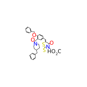 O=C(O)CN1C(=O)C(=Cc2ccc(OCc3ccccc3)c(C(=O)N3CCC(Cc4ccccc4)CC3)c2)SC1=S